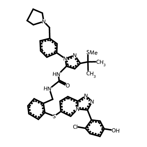 CSC(C)(C)c1cc(NC(=O)NCc2ccccc2Sc2ccc3nnc(-c4cc(O)ccc4Cl)n3c2)n(-c2cccc(CN3CCCC3)c2)n1